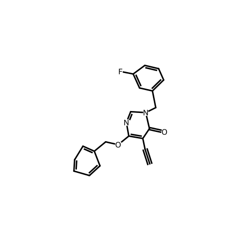 C#Cc1c(OCc2ccccc2)ncn(Cc2cccc(F)c2)c1=O